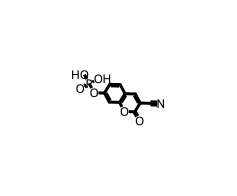 N#Cc1cc2ccc(OP(=O)(O)O)cc2oc1=O